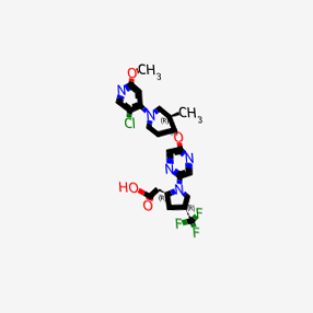 COc1cc(N2CC[C@@H](Oc3cnc(N4C[C@H](C(F)(F)F)C[C@@H]4CC(=O)O)cn3)[C@H](C)C2)c(Cl)cn1